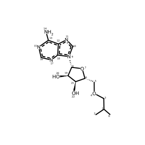 CC(C)COC[C@H]1O[C@@H](n2cnc3c(N)ncnc32)[C@H](O)[C@@H]1O